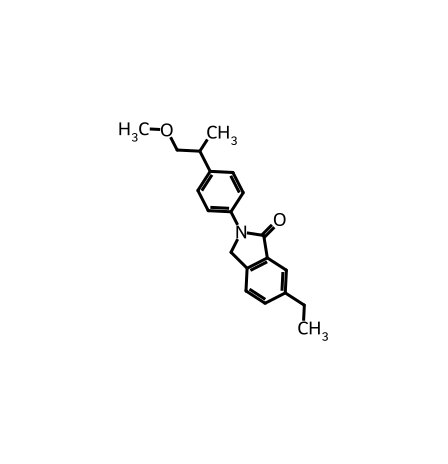 CCc1ccc2c(c1)C(=O)N(c1ccc(C(C)COC)cc1)C2